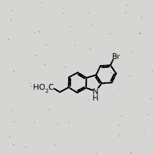 O=C(O)Cc1ccc2c(c1)[nH]c1ccc(Br)cc12